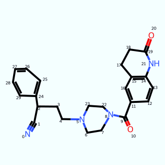 N#CC(CCN1CCN(C(=O)c2ccc3c(c2)CCC(=O)N3)CC1)c1ccccc1